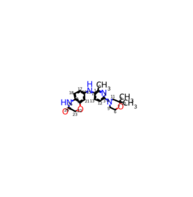 Cc1nc(N2CCOC(C)(C)C2)ccc1Nc1ccc2c(c1)OCC(=O)N2